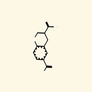 CC(=O)c1ccc2c(c1)CC(C(=O)O)CO2